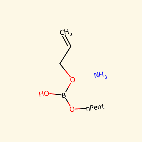 C=CCOB(O)OCCCCC.N